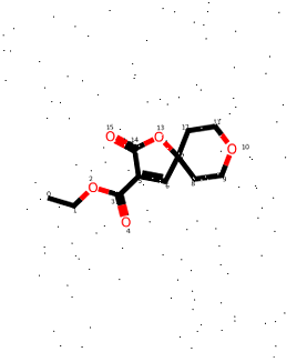 CCOC(=O)C1=CC2(CCOCC2)OC1=O